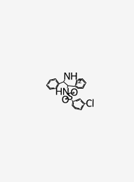 NC(c1ccccc1)C(NS(=O)(=O)c1cccc(Cl)c1)c1ccccc1